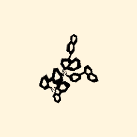 C1=CC2c3ccccc3N(c3ccccc3-c3ccc(N(c4cccc(-c5cccc6ccccc56)c4)c4ccc(-c5ccc6ccccc6c5)c5ccccc45)cc3)C2C=C1